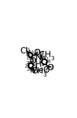 COC(=O)c1ccc([C@H](C)NC(=O)c2cc(Cl)ccc2Oc2cccc(C)c2)cc1